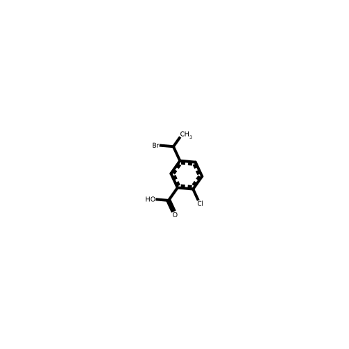 CC(Br)c1ccc(Cl)c(C(=O)O)c1